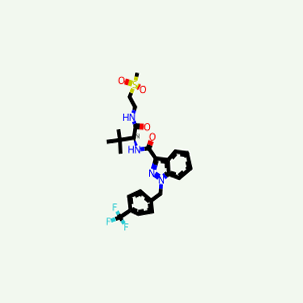 CC(C)(C)[C@H](NC(=O)c1nn(Cc2ccc(C(F)(F)F)cc2)c2ccccc12)C(=O)NCCS(C)(=O)=O